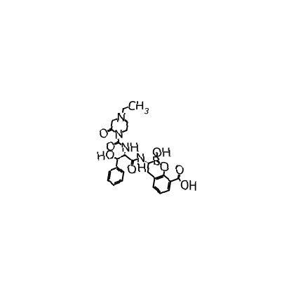 CCN1CCN(C(=O)N[C@H](C(=O)N[C@H]2Cc3cccc(C(=O)O)c3OB2O)C(O)c2ccccc2)C(=O)C1